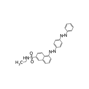 CCNS(=O)(=O)c1ccc2c(N=Nc3ccc(N=Nc4ccccc4)cc3)cccc2c1